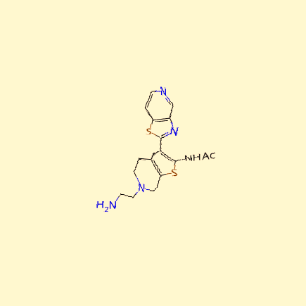 CC(=O)Nc1sc2c(c1-c1nc3cnccc3s1)CCN(CCN)C2